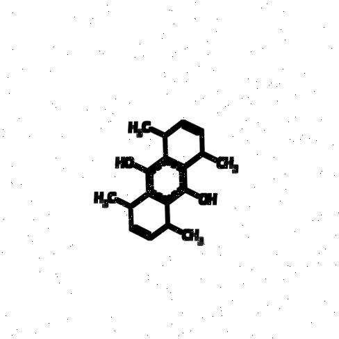 CC1C=CC(C)c2c(O)c3c(c(O)c21)C(C)C=CC3C